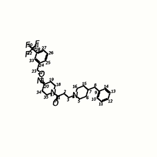 O=C(CCN1CCC(Cc2ccccc2)CC1)N1CCC(=NOCc2cccc(C(F)(F)F)c2)CC1